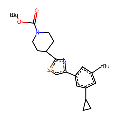 CC(C)(C)OC(=O)N1CCC(c2nc(-c3cc(C4CC4)cc(C(C)(C)C)c3)cs2)CC1